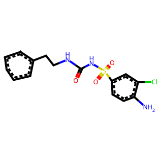 Nc1ccc(S(=O)(=O)NC(=O)NCCc2[c]cccc2)cc1Cl